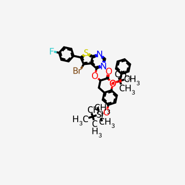 CC(C)(C)OC(=O)C(Cc1cc(O[Si](C)(C)C(C)(C)C)ccc1OCc1ccccc1)Oc1ncnc2sc(-c3ccc(F)cc3)c(Br)c12